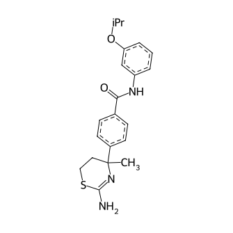 CC(C)Oc1cccc(NC(=O)c2ccc(C3(C)CCSC(N)=N3)cc2)c1